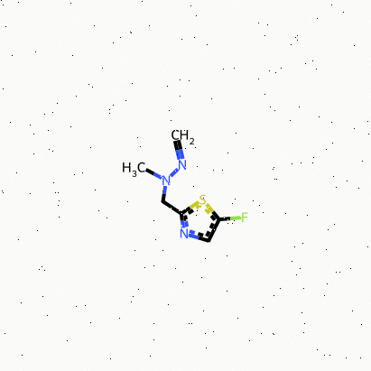 C=NN(C)Cc1ncc(F)s1